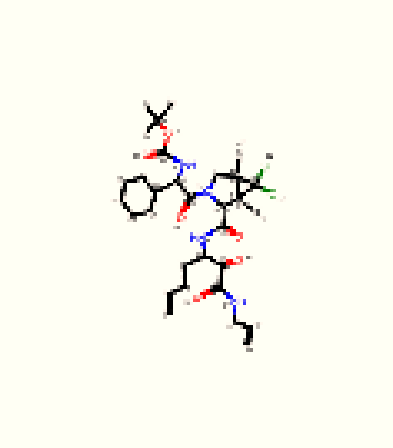 C=CCCC(NC(=O)[C@@H]1[C@@H]2[C@H](CN1C(=O)C(NC(=O)OC(C)(C)C)C1CCCCC1)C2(Cl)Cl)C(=O)C(=O)NCC=C